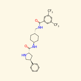 O=C(NC[C@H]1CC[C@H](NC(=O)[C@@H]2C[C@@H](c3ccccc3)CN2)CC1)c1cc(C(F)(F)F)cc(C(F)(F)F)c1